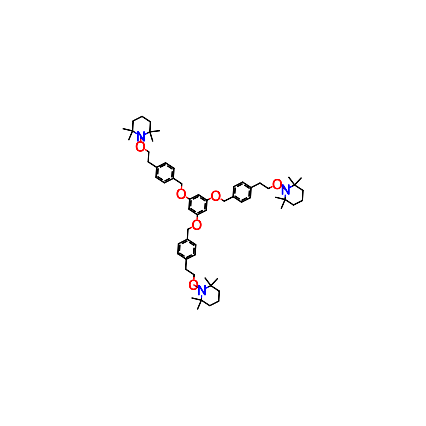 CC1(C)CCCC(C)(C)N1OCCc1ccc(COc2cc(OCc3ccc(CCON4C(C)(C)CCCC4(C)C)cc3)cc(OCc3ccc(CCON4C(C)(C)CCCC4(C)C)cc3)c2)cc1